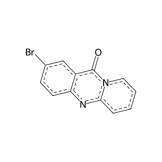 O=c1c2cc(Br)ccc2nc2ccccn12